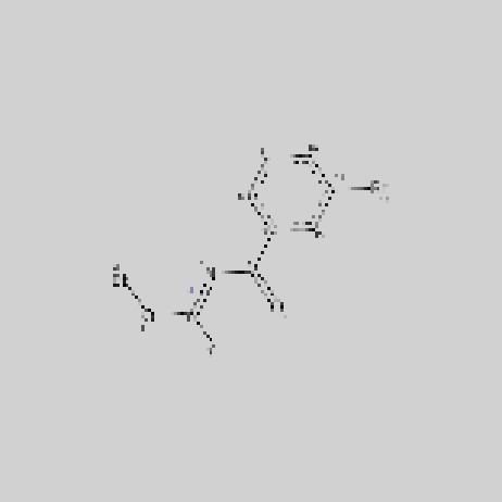 CCO/C(C)=N/C(=O)c1cccc(Br)c1